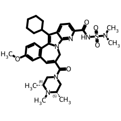 COc1ccc2c(c1)C=C(C(=O)N1C[C@@H](C)N(C)[C@@H](C)C1)Cn1c-2c(C2CCCCC2)c2ccc(C(=O)NS(=O)(=O)N(C)C)nc21